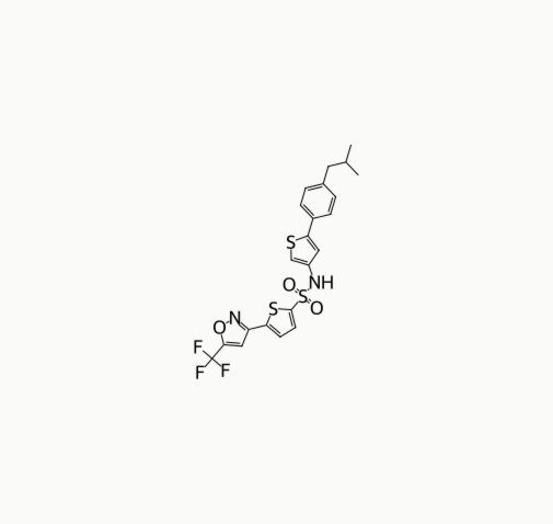 CC(C)Cc1ccc(-c2cc(NS(=O)(=O)c3ccc(-c4cc(C(F)(F)F)on4)s3)cs2)cc1